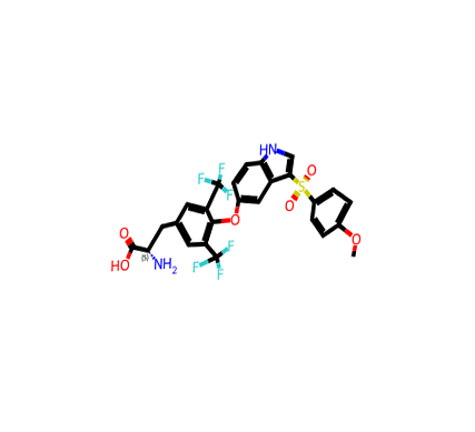 COc1ccc(S(=O)(=O)c2c[nH]c3ccc(Oc4c(C(F)(F)F)cc(C[C@H](N)C(=O)O)cc4C(F)(F)F)cc23)cc1